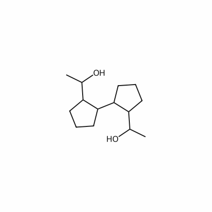 CC(O)C1CCCC1C1CCCC1C(C)O